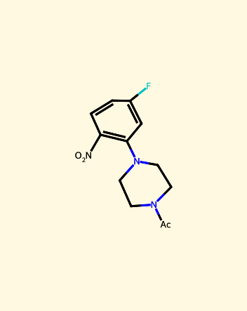 CC(=O)N1CCN(c2cc(F)ccc2[N+](=O)[O-])CC1